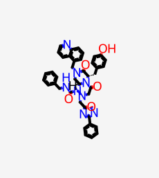 O=C1[C@H](Cc2ccc(O)cc2)N2C(=O)CN(Cc3nc(-c4ccccc4)no3)N(C(=O)NCc3ccccc3)[C@H]2CN1Cc1cccc2ncccc12